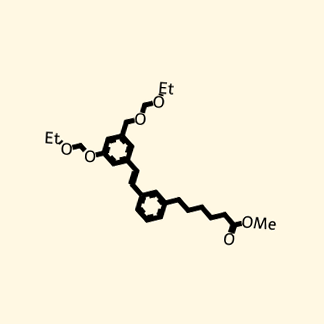 CCOCOCc1cc(C=Cc2cccc(CCCCCC(=O)OC)c2)cc(OCOCC)c1